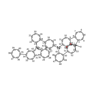 CC1(C)c2ccccc2-c2ccc(N(c3ccc(-c4ccccc4-n4c5ccccc5c5ccc(-c6ccccc6)cc54)cc3)c3ccccc3-c3ccccc3)cc21